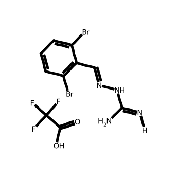 O=C(O)C(F)(F)F.[H]/N=C(\N)NN=Cc1c(Br)cccc1Br